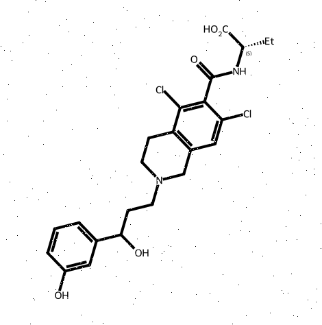 CC[C@H](NC(=O)c1c(Cl)cc2c(c1Cl)CCN(CCC(O)c1cccc(O)c1)C2)C(=O)O